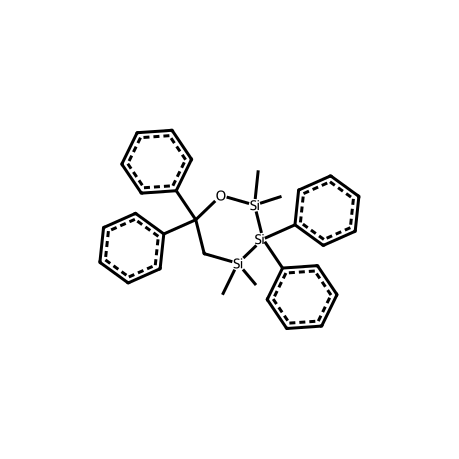 C[Si]1(C)CC(c2ccccc2)(c2ccccc2)O[Si](C)(C)[Si]1(c1ccccc1)c1ccccc1